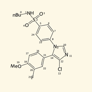 CCCCNS(=O)(=O)c1ccc(-n2cnc(Cl)c2-c2ccc(OC)c(F)c2)cc1